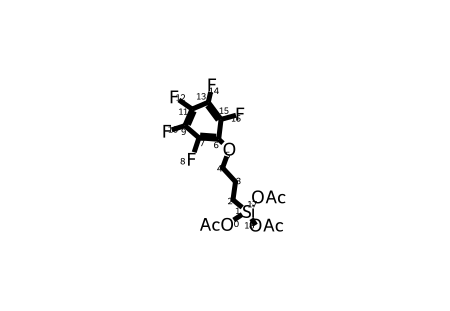 CC(=O)O[Si](CCCOc1c(F)c(F)c(F)c(F)c1F)(OC(C)=O)OC(C)=O